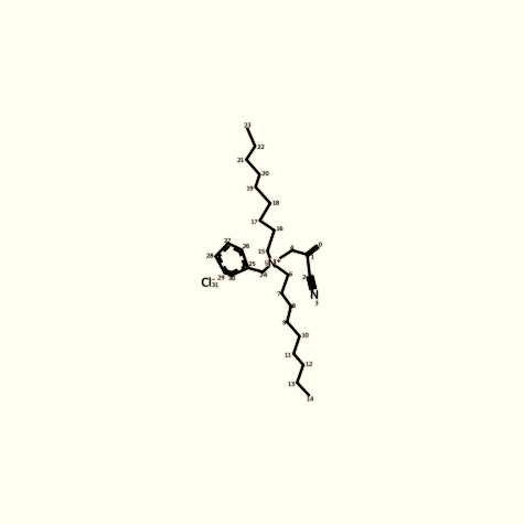 C=C(C#N)C[N+](CCCCCCCCC)(CCCCCCCCC)Cc1ccccc1.[Cl-]